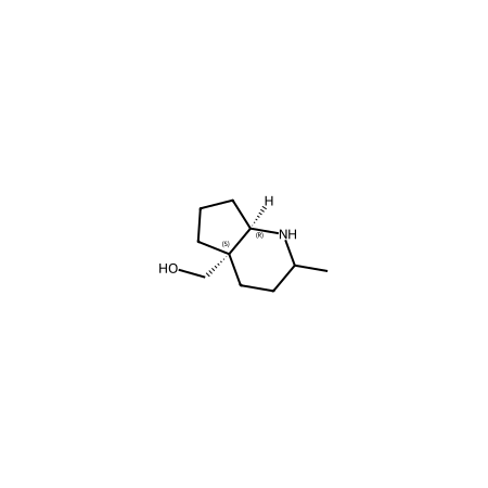 CC1CC[C@@]2(CO)CCC[C@H]2N1